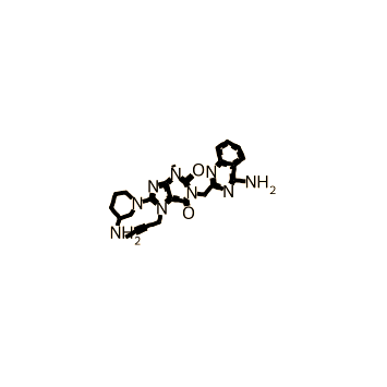 CC#CCn1c(N2CCCC(N)C2)nc2c1c(=O)n(Cc1nc(N)c3ccccc3n1)c(=O)n2C